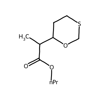 CCCOC(=O)C(C)C1CCSCO1